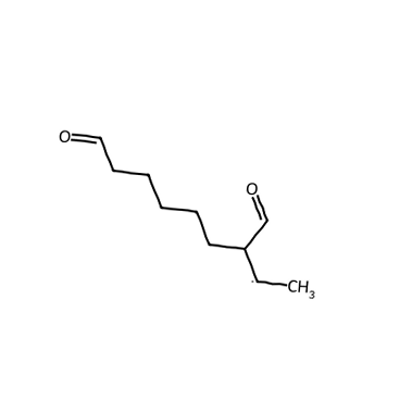 C[CH]C(C=O)CCCCCC=O